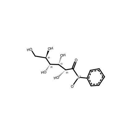 O=C([C@H](O)[C@@H](O)[C@H](O)[C@H](O)CO)[S+]([O-])c1ccccc1